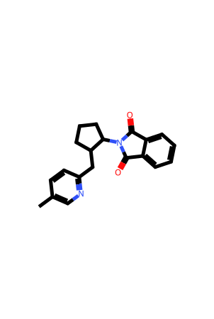 Cc1ccc(CC2CCCC2N2C(=O)c3ccccc3C2=O)nc1